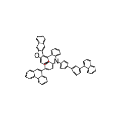 c1cc(-c2ccc(N(c3ccc(-c4cc5ccccc5c5ccccc45)cc3)c3ccccc3-c3cccc4oc5cc6ccccc6cc5c34)cc2)cc(-c2cccc3ccccc23)c1